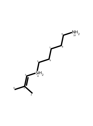 CC(C)=C[SiH2]CCCCCN